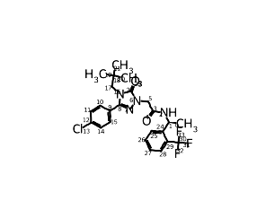 C[C@H](NC(=O)Cn1nc(-c2ccc(Cl)cc2)n(CC(C)(C)C)c1=O)c1ccccc1C(F)(F)F